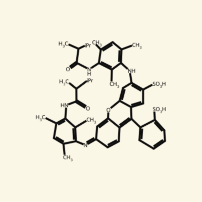 Cc1cc(C)c(NC(=O)C(C)C(C)C)c(C)c1/N=c1/ccc2c(-c3ccccc3S(=O)(=O)O)c3cc(S(=O)(=O)O)c(Nc4c(C)cc(C)c(NC(=O)C(C)C(C)C)c4C)cc3oc-2c1